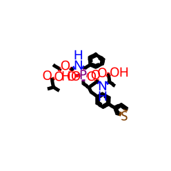 CC(OC(=O)NC(c1ccccc1)P(=O)(O)CC(Cc1ccc(-c2ccsc2)cc1)C(=O)NC(C)C(=O)O)OC(=O)C(C)C